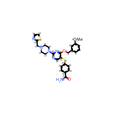 COc1cccc(COc2nc(N3CCN(Cc4nccs4)CC3)ncc2Sc2ccc(C(N)=O)cc2)c1